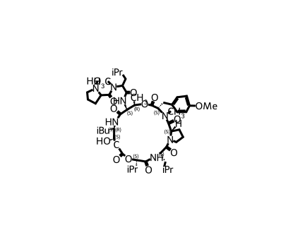 CC[C@H](C)[C@H]1NC(=O)[C@@H](NC(=O)C(CC(C)C)N(C)C(=O)C2CCCN2O)[C@@H](C)OC(=O)[C@H](Cc2ccc(OC)cc2)N(C)C(=O)[C@@H]2CCCN2C(=O)[C@H](CC(C)C)NC(=O)[C@H](C(C)C)OC(=O)C[C@@H]1O